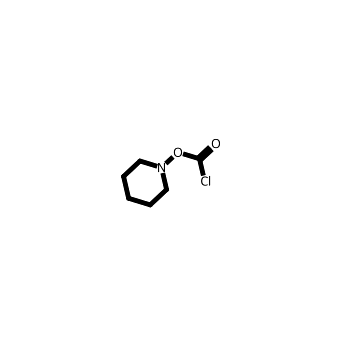 O=C(Cl)ON1CCCCC1